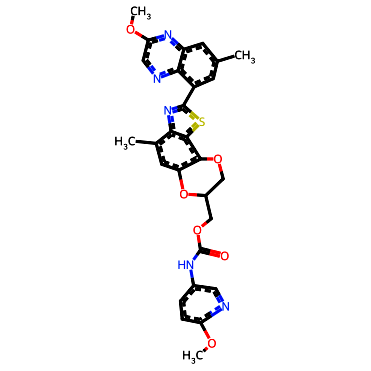 COc1ccc(NC(=O)OCC2COc3c(cc(C)c4nc(-c5cc(C)cc6nc(OC)cnc56)sc34)O2)cn1